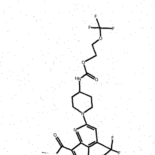 CNC(=O)c1csc2c(C(F)(F)F)cc(N3CCC(NC(=O)OCCOC(F)(F)F)CC3)nc12